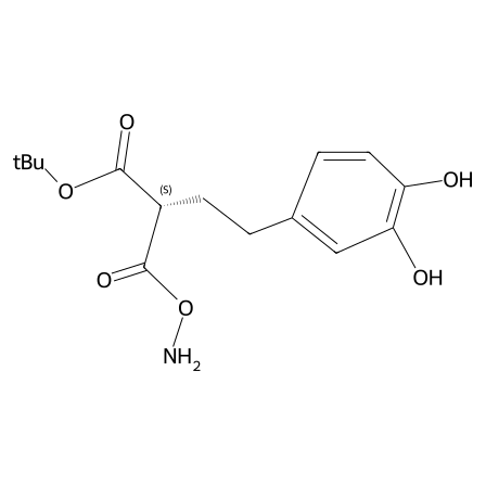 CC(C)(C)OC(=O)[C@H](CCc1ccc(O)c(O)c1)C(=O)ON